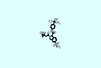 COC1(CC(=O)N2Cc3cc(S(C)(=O)=O)ccc3C2C(=O)Nc2ccc(C(C)(O)C(F)(F)F)cc2)CC1